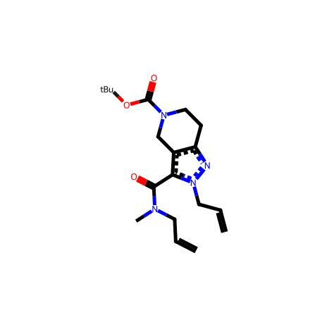 C=CCN(C)C(=O)c1c2c(nn1CC=C)CCN(C(=O)OC(C)(C)C)C2